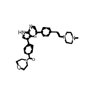 CN1CCN(CCc2ccc(-c3cnc4[nH]cc(-c5ccc(C(=O)N6CCOCC6)cc5)c4n3)cc2)CC1